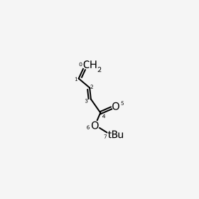 C=CC=CC(=O)OC(C)(C)C